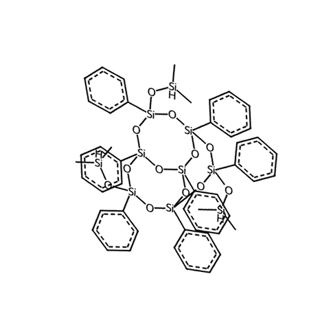 C[SiH](C)O[Si]1(c2ccccc2)O[Si]2(c3ccccc3)O[Si](O[SiH](C)C)(c3ccccc3)O[Si]3(c4ccccc4)O[Si](O[SiH](C)C)(c4ccccc4)O[Si](c4ccccc4)(O1)O[Si](c1ccccc1)(O2)O3